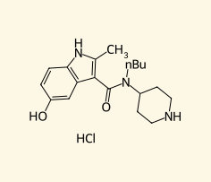 CCCCN(C(=O)c1c(C)[nH]c2ccc(O)cc12)C1CCNCC1.Cl